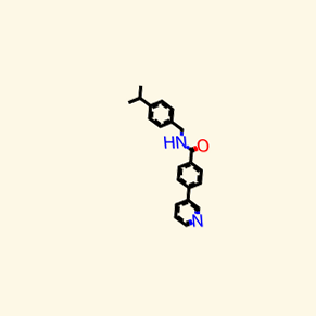 CC(C)c1ccc(CNC(=O)c2ccc(-c3cccnc3)cc2)cc1